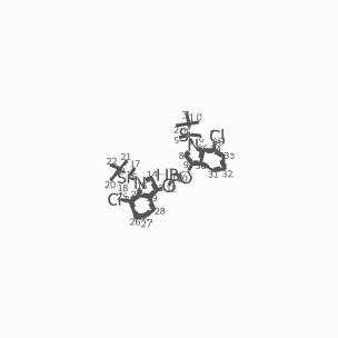 CC(C)(C)[Si](C)(C)n1cc(OBOc2cn([Si](C)(C)C(C)(C)C)c3c(Cl)cccc23)c2cccc(Cl)c21